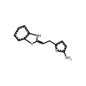 O=[N+]([O-])c1ccc(C/C=C2\Nc3ccccc3S2)s1